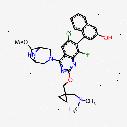 COC1CC2CN(c3nc(OCC4(CN(C)C)CC4)nc4c(F)c(-c5cc(O)cc6ccccc56)c(Cl)cc34)CC1N2